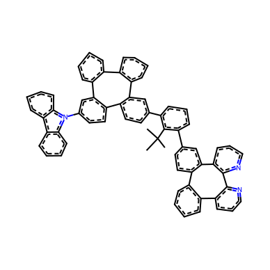 CC(C)(C)c1c(-c2ccc3c(c2)-c2ccccc2-c2ccccc2-c2cc(-n4c5ccccc5c5ccccc54)ccc2-3)cccc1-c1ccc2c(c1)-c1cccnc1-c1ncccc1-c1ccccc1-2